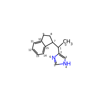 CC(c1c[nH]cn1)C1CCc2ccccc21